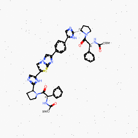 COC(=O)N[C@@H](C(=O)N1CCCC1c1ncc(-c2cn3cc(-c4ccc(-c5cnc([C@@H]6CCCN6C(=O)[C@H](NC(=O)OC)c6ccccc6)[nH]5)cc4)nc3s2)[nH]1)c1ccccc1